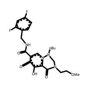 CCCCN1CN(CCOC)C(=O)c2c(O)c(=O)c(C(=O)NCc3ccc(F)cc3F)cn21